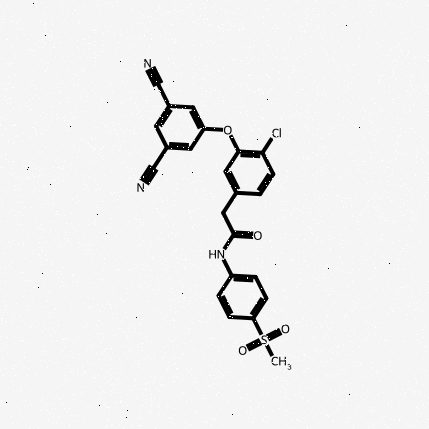 CS(=O)(=O)c1ccc(NC(=O)Cc2ccc(Cl)c(Oc3cc(C#N)cc(C#N)c3)c2)cc1